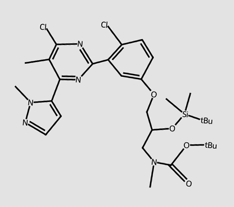 Cc1c(Cl)nc(-c2cc(OCC(CN(C)C(=O)OC(C)(C)C)O[Si](C)(C)C(C)(C)C)ccc2Cl)nc1-c1ccnn1C